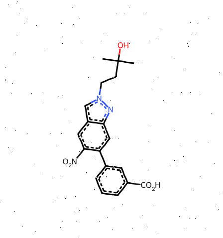 CC(C)(O)CCn1cc2cc([N+](=O)[O-])c(-c3cccc(C(=O)O)c3)cc2n1